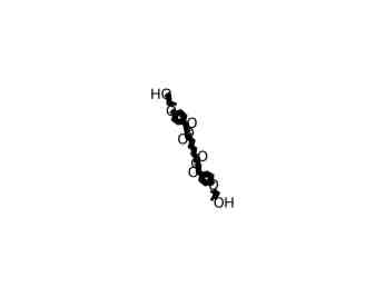 O=C(CCCCC(=O)OCC(=O)c1ccc(OCCCO)cc1)OCC(=O)c1ccc(OCCCO)cc1